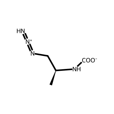 C[C@@H](CN=[N+]=N)NC(=O)[O-]